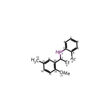 CCC(Pc1ccccc1C(C)=O)c1cc(C)ccc1OC